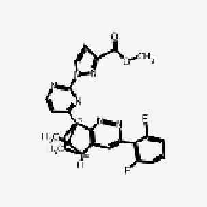 COC(=O)c1ccn(-c2nccc([C@@]34CC[C@@H](c5cc(-c6c(F)cccc6F)nnc53)C4(C)C)n2)n1